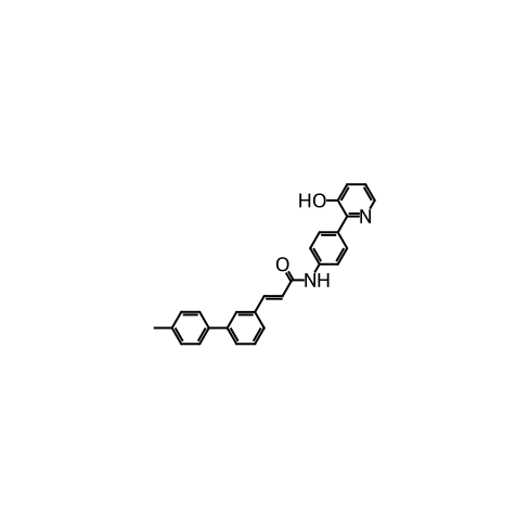 Cc1ccc(-c2cccc(/C=C/C(=O)Nc3ccc(-c4ncccc4O)cc3)c2)cc1